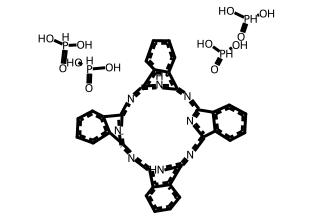 O=[PH](O)O.O=[PH](O)O.O=[PH](O)O.O=[PH](O)O.c1ccc2c(c1)-c1nc-2nc2[nH]c(nc3nc(nc4[nH]c(n1)c1ccccc41)-c1ccccc1-3)c1ccccc21